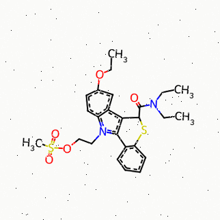 CCOc1ccc2c(c1)c1c(n2CCOS(C)(=O)=O)-c2ccccc2SC1C(=O)N(CC)CC